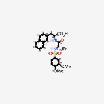 COc1ccc(S(=O)(=O)N[C@H](C(=O)N[C@@H](Cc2ccc3ccccc3c2)C(=O)O)C(C)C)cc1OC